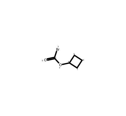 O=C(Br)OC1CCC1